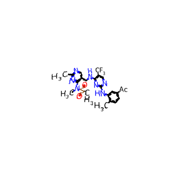 CC(=O)c1ccc(C)c(Nc2ncc(C(F)(F)F)c(NCc3cnc(C)nc3N(C)S(C)(=O)=O)n2)c1